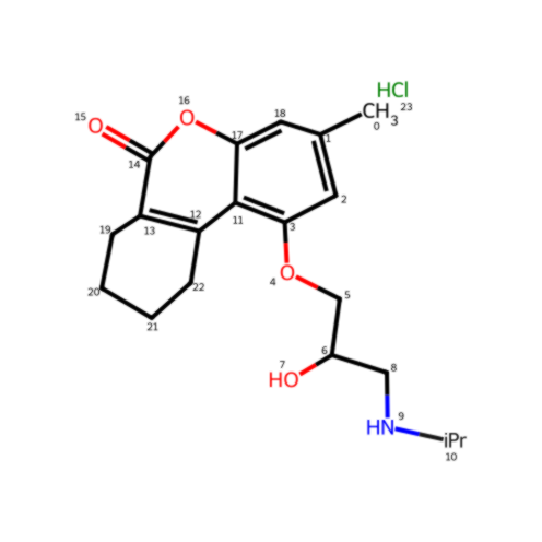 Cc1cc(OCC(O)CNC(C)C)c2c3c(c(=O)oc2c1)CCCC3.Cl